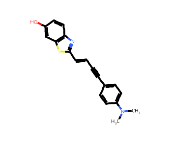 CN(C)c1ccc(C#C/C=C/c2nc3ccc(O)cc3s2)cc1